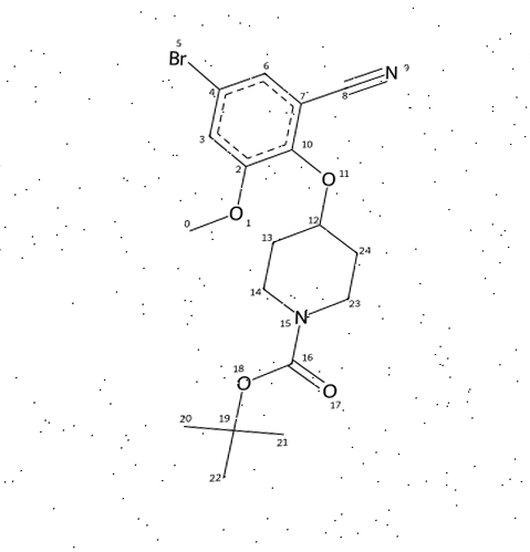 COc1cc(Br)cc(C#N)c1OC1CCN(C(=O)OC(C)(C)C)CC1